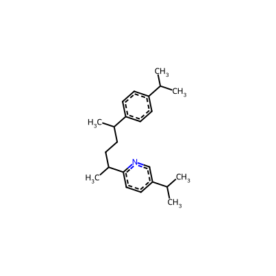 CC(C)c1ccc(C(C)CCC(C)c2ccc(C(C)C)cn2)cc1